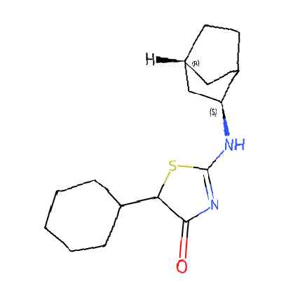 O=C1N=C(N[C@H]2C[C@@H]3CCC2C3)SC1C1CCCCC1